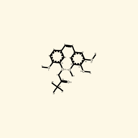 COc1ccc(/C=C\c2cc(OC)c(OC)c(OC)c2)cc1OCC(=O)C(C)(C)C